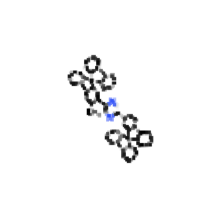 Cc1cc2c(cc1-c1cnc(-c3ccc4c(c3)C3(c5ccccc5-c5ccccc53)c3ccccc3-4)cn1)C1(c3ccccc3-c3ccccc31)c1ccccc1-2